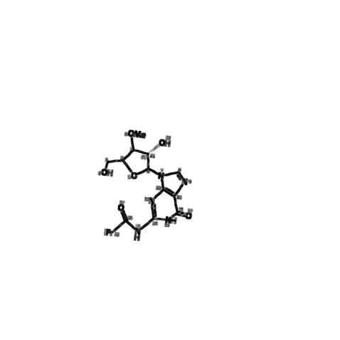 COC1C(CO)OC(n2cnc3c(=O)[nH]c(NC(=O)C(C)C)nc32)[C@H]1O